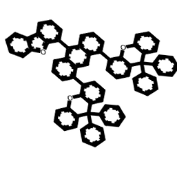 c1ccc(C2(c3ccccc3)c3ccccc3Oc3c(-c4cccc5c(-c6cccc7c6oc6ccccc67)c6cccc(-c7cccc8c7Oc7ccccc7C8(c7ccccc7)c7ccccc7)c6cc45)cccc32)cc1